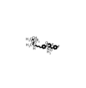 C[C@H](NCCCCc1ccc(-n2c(N)c(C(=O)c3ccc(F)cc3F)ccc2=O)cc1)C(=O)OC(C)(C)C